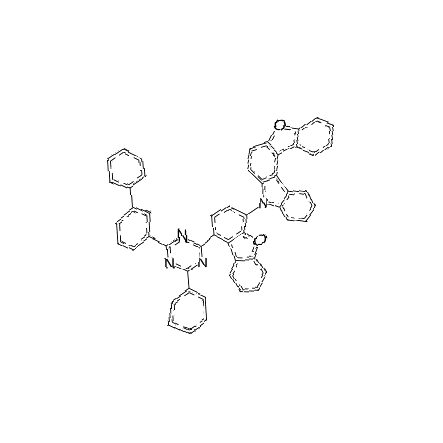 c1ccc(-c2cccc(-c3nc(-c4ccccc4)nc(-c4ccc(-n5c6ccccc6c6c7c(ccc65)oc5ccccc57)c5oc6ccccc6c45)n3)c2)cc1